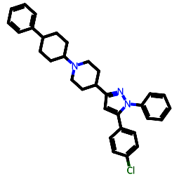 Clc1ccc(-c2cc(C3CCN(C4CCC(c5ccccc5)CC4)CC3)nn2-c2ccccc2)cc1